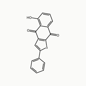 O=C1c2cccc(O)c2C(=O)c2cc(-c3ccccc3)sc21